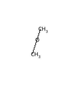 CCCCCCCCCCCCOCCCCCCCCC